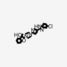 CC(O)(C(=O)N1CCN(c2ccc(-c3nc4cc(Cl)ccc4[nH]3)cn2)CC1)c1ccccc1